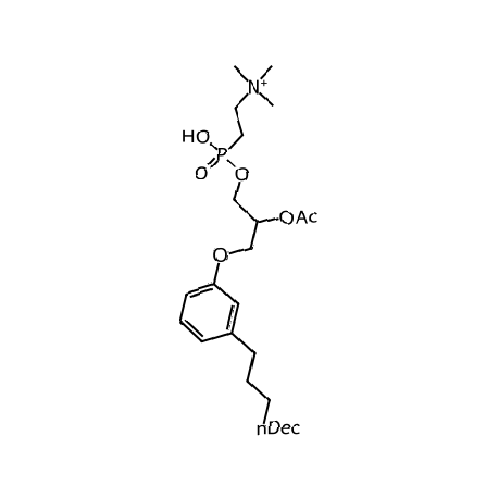 CCCCCCCCCCCCCc1cccc(OCC(COP(=O)(O)CC[N+](C)(C)C)OC(C)=O)c1